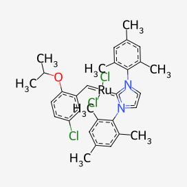 Cc1cc(C)c(-n2ccn(-c3c(C)cc(C)cc3C)[c]2=[Ru]([Cl])([Cl])=[CH]c2cc(Cl)ccc2OC(C)C)c(C)c1